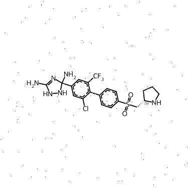 NC1=NC(N)(c2cc(Cl)c(-c3ccc(S(=O)(=O)C[C@@H]4CCCN4)cc3)c(C(F)(F)F)c2)NN1